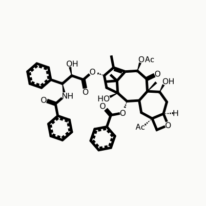 CC(=O)O[C@H]1C(=O)[C@@]2(C)C(C[C@]3(C(C)=O)CO[C@@H]3C[C@@H]2O)[C@H](OC(=O)c2ccccc2)[C@]2(O)C[C@H](OC(=O)[C@H](O)[C@@H](NC(=O)c3ccccc3)c3ccccc3)C(C)=C1C2(C)C